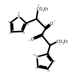 CCOC(=O)C(C(=O)C(=O)C(C(=O)OCC)c1cccs1)c1cccs1